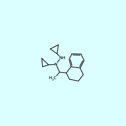 CC(C1CCCc2ccccc21)N(NC1CC1)C1CC1